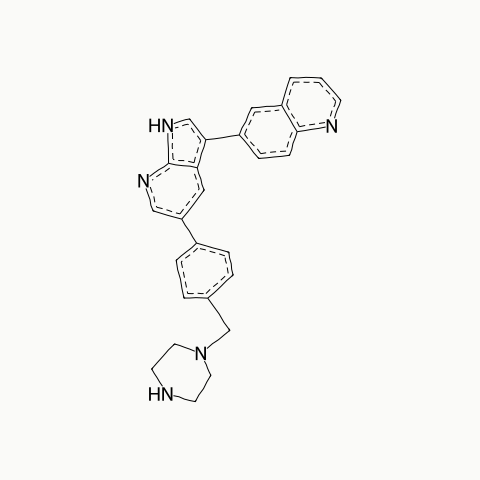 c1cnc2ccc(-c3c[nH]c4ncc(-c5ccc(CN6CCNCC6)cc5)cc34)cc2c1